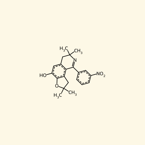 CC1(C)Cc2cc(O)c3c(c2C(c2cccc([N+](=O)[O-])c2)=N1)CC(C)(C)O3